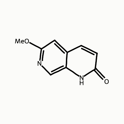 COc1cc2ccc(=O)[nH]c2cn1